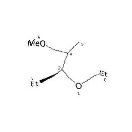 CCO[C@@H](CC)C(C)OC